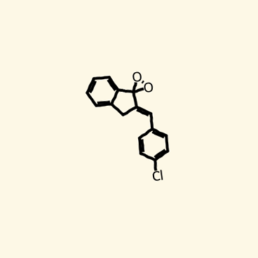 Clc1ccc(C=C2Cc3ccccc3C23OO3)cc1